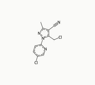 Cc1nn(-c2ccc(Cl)cn2)c(CCl)c1C#N